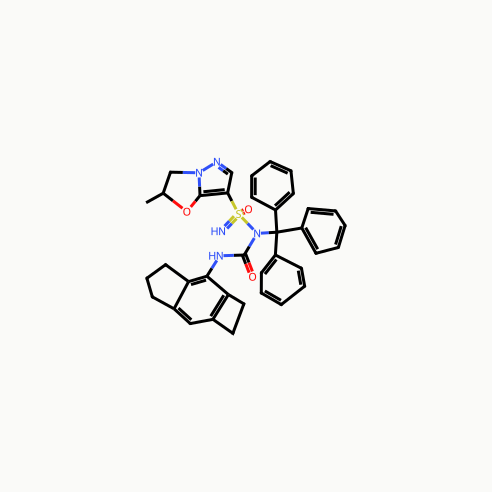 CC1Cn2ncc(S(=N)(=O)N(C(=O)Nc3c4c(cc5c3CC5)CCC4)C(c3ccccc3)(c3ccccc3)c3ccccc3)c2O1